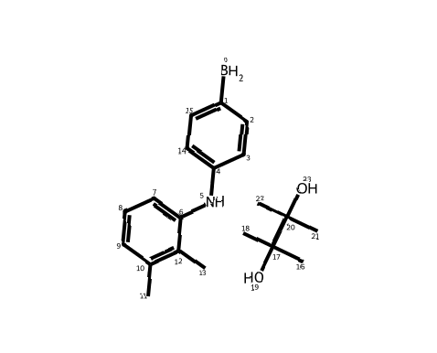 Bc1ccc(Nc2cccc(C)c2C)cc1.CC(C)(O)C(C)(C)O